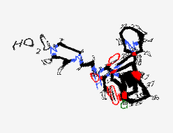 O=C(NCCN1CCN(C(=O)O)CC1)c1cc(Cl)ccc1C1=CC2CCC(C1)N2CCN1C(=O)COc2ccccc21